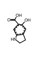 O=C(O)c1cc2c(cc1O)CCN2